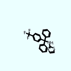 FC(F)(F)c1ccc(C(Nc2nccs2)(c2ccccc2)c2ccccc2)cc1